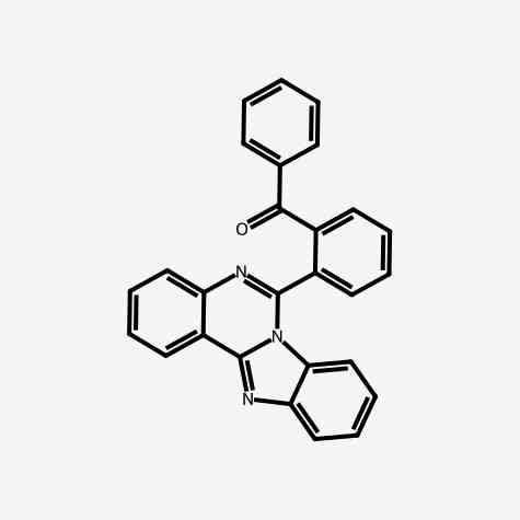 O=C(c1ccccc1)c1ccccc1-c1nc2ccccc2c2nc3ccccc3n12